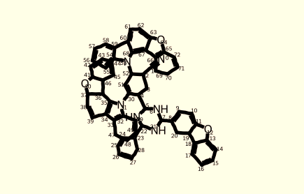 N#CC1CC(C2NC(C3=CC=C4Oc5ccccc5C4C3)NC(C3C=CC=CC3)N2)C(n2c3c(c4c2C2C(C=C4)OC4C=CC=CC42)CCC=C3)=CC1n1c2ccccc2c2ccc3oc4c(c3c21)CCC=C4